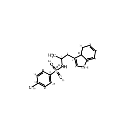 CC(CC1=CNC2=CC=CCC12)NS(=O)(=O)c1ccc(Cl)cc1